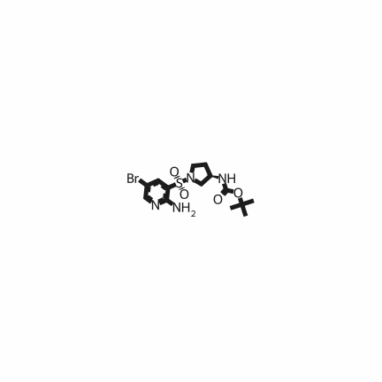 CC(C)(C)OC(=O)N[C@@H]1CCN(S(=O)(=O)c2cc(Br)cnc2N)C1